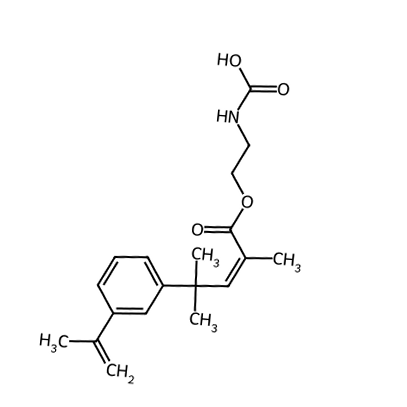 C=C(C)c1cccc(C(C)(C)C=C(C)C(=O)OCCNC(=O)O)c1